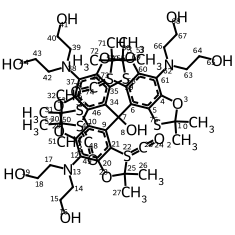 CC1(C)Oc2c(c(C(O)(c3c4c(c(N(CCO)CCO)c5c3S(=C=O)C(C)(C)O5)OC(C)(C)S4)c3c4c(c(N(CCO)CCO)c5c3S(=C=O)C(C)(C)O5)OC(C)(C)S4)c3c(c2N(CCO)CCO)OC(C)(C)S3=C=O)S1